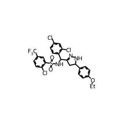 CCOc1ccc(C2CC(C(NS(=O)(=O)c3cc(C(F)(F)F)ccc3Cl)c3ccc(Cl)cc3Cl)=NN2)cc1